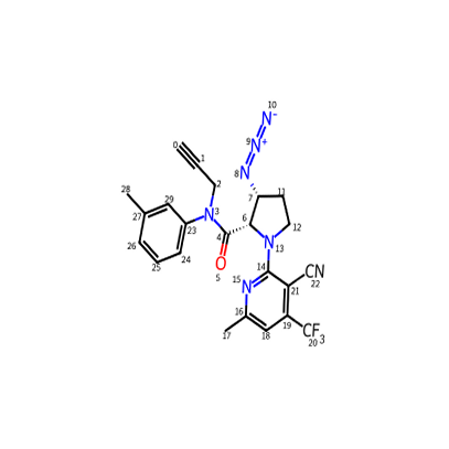 C#CCN(C(=O)[C@@H]1[C@H](N=[N+]=[N-])CCN1c1nc(C)cc(C(F)(F)F)c1C#N)c1cccc(C)c1